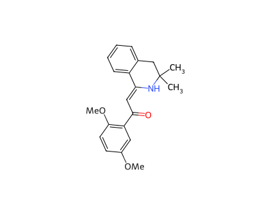 COc1ccc(OC)c(C(=O)C=C2NC(C)(C)Cc3ccccc32)c1